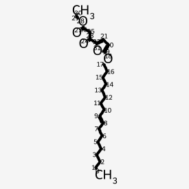 CCCCCCCCC=CCCCCCCCCOc1ccc(C(=O)CC(=O)OCC)o1